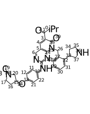 CC(C)C(=O)c1cc2cnc(Nc3ccc(OC4CCN(C)C4)cc3)nc2n(Cc2ccccc2C2CCNC2)c1=O